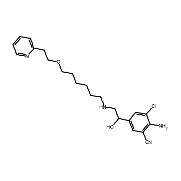 N#Cc1cc(C(O)CNCCCCCCOCCc2ccccn2)cc(Cl)c1N